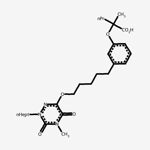 CCCCCCCn1nc(OCCCCCc2cccc(OC(C)(CCC)C(=O)O)c2)c(=O)n(C)c1=O